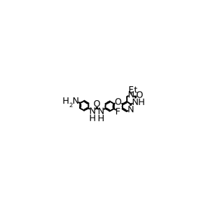 CCN1Cc2c(Oc3ccc(NC(=O)Nc4ccc(N)cc4)cc3F)ccnc2NC1=O